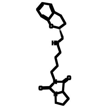 O=C1C2CCCN2C(=O)N1CCCCNC[C@H]1CCc2ccccc2O1